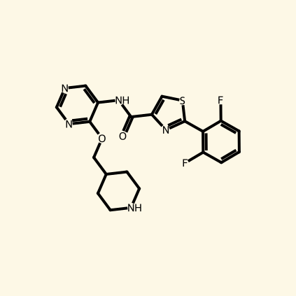 O=C(Nc1cncnc1OCC1CCNCC1)c1csc(-c2c(F)cccc2F)n1